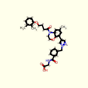 Cc1cc(-c2cnn(Cc3cccc(C(=O)NCC(=O)O)c3)c2)c2c(c1)N(C(=O)CCCOc1cccc(C)c1C)CCO2